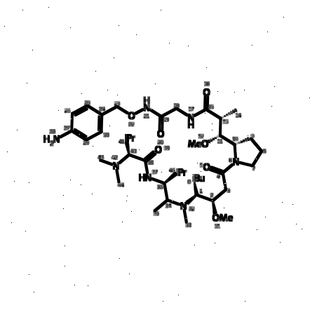 CC[C@H](C)[C@@H]([C@@H](CC(=O)N1CCC[C@H]1[C@H](OC)[C@@H](C)C(=O)NCC(=O)NOCc1ccc(N)cc1)OC)N(C)C(C)[C@@H](NC(=O)[C@H](C(C)C)N(C)C)C(C)C